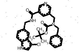 CC(C)(C)OC(=O)N(Cc1ccccc1)Cc1cncc(C(=O)NCc2ccc3[nH]cc(Cl)c3c2)c1